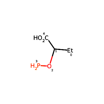 CCC(OP)C(=O)O